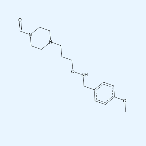 COc1ccc(CNOCCCN2CCN(C=O)CC2)cc1